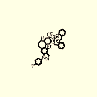 CC[C@]12CC[C@@](OP(=O)(OCc3ccccc3)OCc3ccccc3)(C(F)(F)F)C[C@@H]1CCCc1cc3c(cnn3-c3ccc(F)cc3)cc12